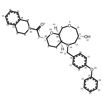 O=C(C[C@H]1CC[C@H]2[C@H](COC[C@H](O)CN2Cc2ccc(Oc3ccccc3)cc2)O1)N1CCc2ccccc2C1